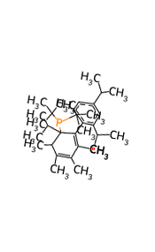 CC1=C(C)C(C)C(C(C)C)(P(C(C)(C)C)C(C)(C)C)C(c2ccc(C(C)C)cc2C(C)C)=C1C